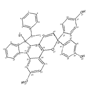 CCC1(C(C)c2ccccc2)c2ccccc2-c2c1c1c(c3ccc(OC)cc23)OC(c2ccc(O)cc2)(c2ccc(O)cc2)C=C1